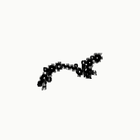 O=C1CCC(N2Cc3cc(N4CCN(CCCCCCC(=O)N5CCC[C@@H](Nc6ncnc7[nH]cc(C(=O)c8ccc(Oc9ccccc9)cc8Cl)c67)C5)CC4)ccc3C2=O)C(=O)N1